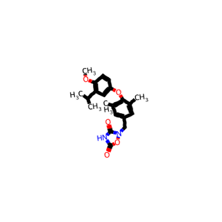 COc1ccc(Oc2c(C)cc(Cn3oc(=O)[nH]c3=O)cc2C)cc1C(C)C